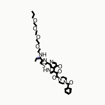 C/C=C(/NCCOCCOCCOCCOCCC)c1csc(-c2ncc(OC)c3c(C(=O)C(=O)N4CCN(C(=O)c5ccccc5)CC4)c[nH]c23)n1